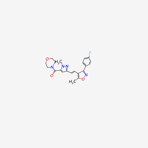 Cc1onc(-c2ccc(F)cc2)c1C=Cc1cc(C(=O)N2CCOCC2)n(C)n1